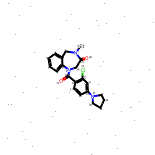 CCN1Cc2ccccc2N(C(=O)c2ccc(N3CCCC3)cc2Cl)CC1=O